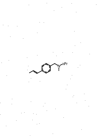 C/C=C/c1ccc(CN(C)CCC)cc1